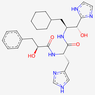 O=C(N[C@@H](CC1CCCCC1)[C@@H](O)c1ncc[nH]1)[C@H](Cc1c[nH]cn1)NC(=O)[C@@H](O)Cc1ccccc1